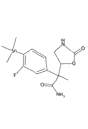 CC(C(N)=O)(c1cc[c]([Sn]([CH3])([CH3])[CH3])c(F)c1)C1CNC(=O)O1